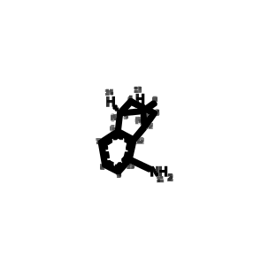 C[C@@H]1C2CC[C@@H]1c1cccc(N)c12